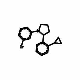 Brc1cccc(N2CCCC2c2ccccc2C2CC2)c1